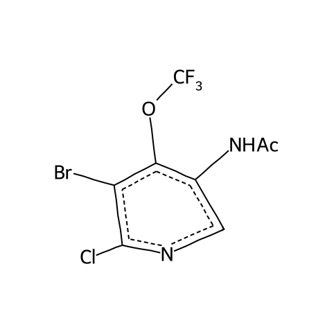 CC(=O)Nc1cnc(Cl)c(Br)c1OC(F)(F)F